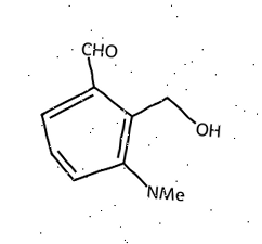 CNc1cccc(C=O)c1CO